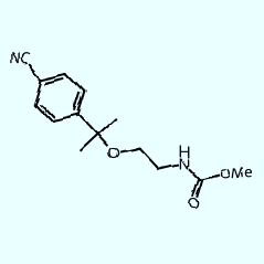 COC(=O)NCCOC(C)(C)c1ccc(C#N)cc1